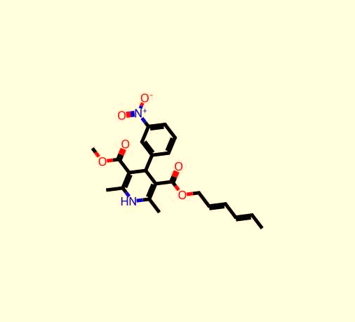 C/C=C/C=C/COC(=O)C1=C(C)NC(C)=C(C(=O)OC)C1c1cccc([N+](=O)[O-])c1